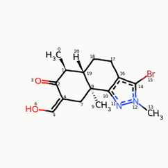 C[C@@H]1C(=O)/C(=C\O)C[C@]2(C)c3nn(C)c(Br)c3CC[C@@H]12